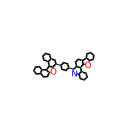 c1ccc2c(c1)ccc1oc3c(-c4ccc(-c5nc6ccccc6c6c5ccc5c7ccccc7oc56)cc4)cc4ccccc4c3c12